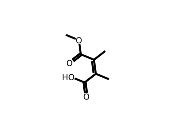 COC(=O)/C(C)=C(/C)C(=O)O